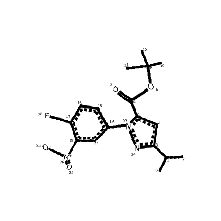 CC(C)c1cc(C(=O)OC(C)(C)C)n(-c2ccc(F)c([N+](=O)[O-])c2)n1